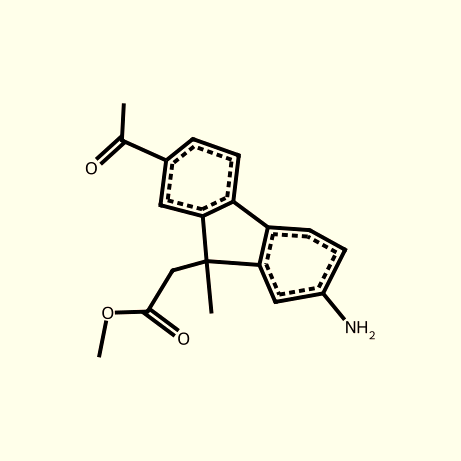 COC(=O)CC1(C)c2cc(N)ccc2-c2ccc(C(C)=O)cc21